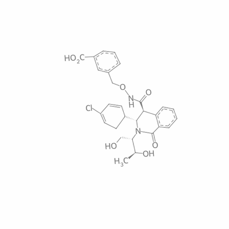 C[C@H](O)[C@H](CO)N1C(=O)c2ccccc2[C@H](C(=O)NOCc2cccc(C(=O)O)c2)[C@H]1C1C=CC(Cl)=CC1